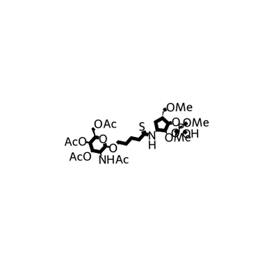 COC[C@H]1C[C@@H](NC(=S)CCCCO[C@@H]2O[C@H](COC(C)=O)[C@H](OC(C)=O)[C@H](OC(C)=O)[C@H]2NC(C)=O)[C@@H](OC)C1OP(=O)(O)OC